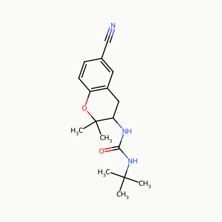 CC(C)(C)NC(=O)NC1Cc2cc(C#N)ccc2OC1(C)C